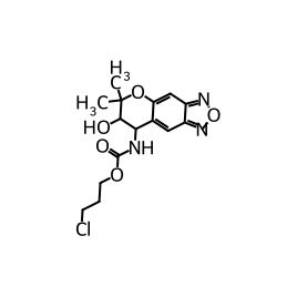 CC1(C)Oc2cc3nonc3cc2C(NC(=O)OCCCCl)C1O